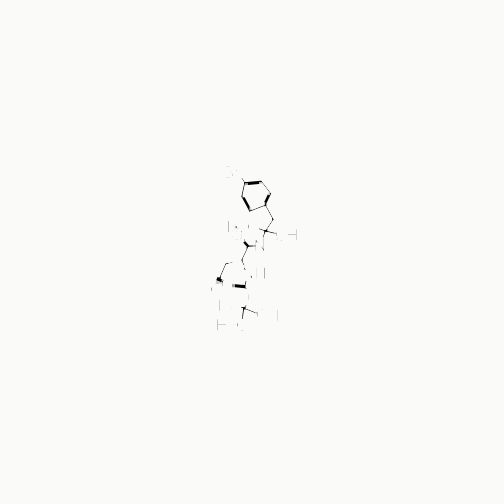 C#CC[C@H](NC(=O)OC(C)(C)C)C(=O)NC(C)(C)Cc1ccc(Br)cc1